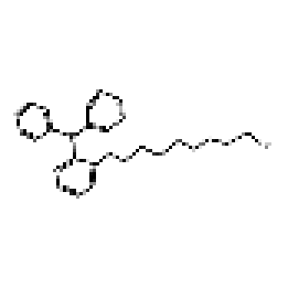 BrCCCCCCCCCc1ccccc1P(c1ccccc1)c1ccccc1